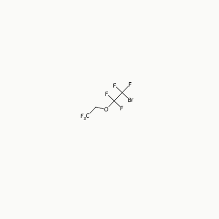 FC(F)(F)COC(F)(F)C(F)(F)Br